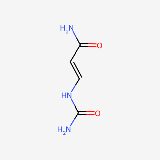 NC(=O)C=CNC(N)=O